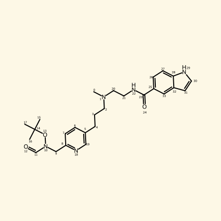 CN(CCCc1ccc(CN(C=O)OC(C)(C)C)nc1)CCNC(=O)c1ccc2[nH]ccc2c1